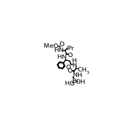 COC(=O)NC(C(=O)NC(CC(=O)NC(C)C(=O)NCB(O)O)c1ccccc1)C(C)C